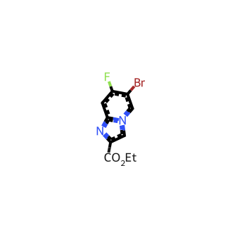 CCOC(=O)c1cn2cc(Br)c(F)cc2n1